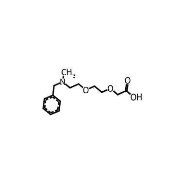 CN(CCOCCOCC(=O)O)Cc1ccccc1